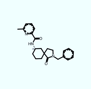 Cc1cccc(C(=O)N[C@H]2CCCC3(CCN(Cc4ccccc4)C3=O)C2)n1